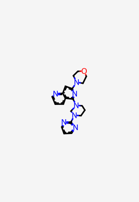 c1cnc(N2CCCN(c3nc(N4CCOCC4)cc4ncccc34)C2)nc1